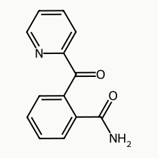 NC(=O)c1ccccc1C(=O)c1ccccn1